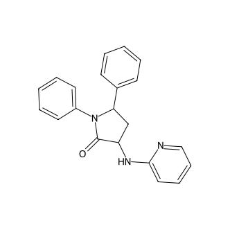 O=C1C(Nc2ccccn2)CC(c2ccccc2)N1c1ccccc1